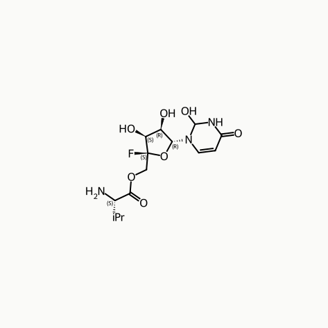 CC(C)[C@H](N)C(=O)OC[C@@]1(F)O[C@@H](N2C=CC(=O)NC2O)[C@H](O)[C@@H]1O